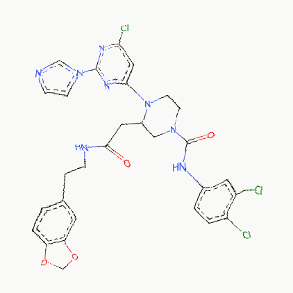 O=C(CC1CN(C(=O)Nc2ccc(Cl)c(Cl)c2)CCN1c1cc(Cl)nc(-n2ccnc2)n1)NCCc1ccc2c(c1)OCO2